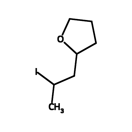 CC(I)CC1CCCO1